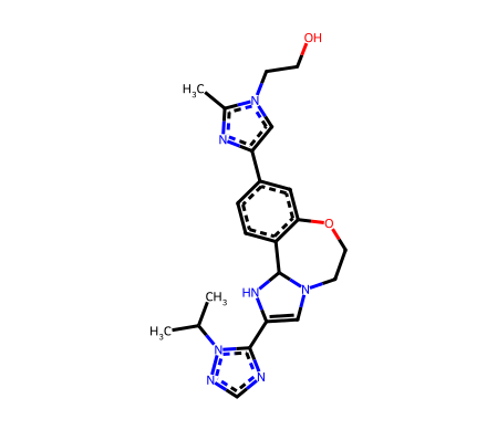 Cc1nc(-c2ccc3c(c2)OCCN2C=C(c4ncnn4C(C)C)NC32)cn1CCO